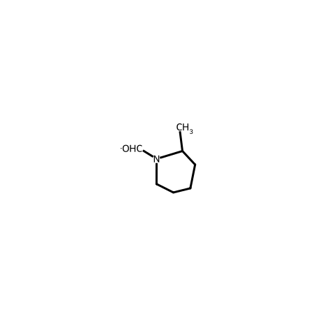 CC1CCCCN1[C]=O